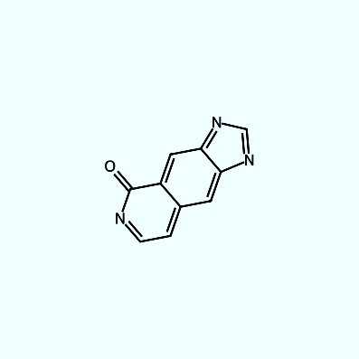 O=C1N=CC=c2cc3c(cc21)=NC=N3